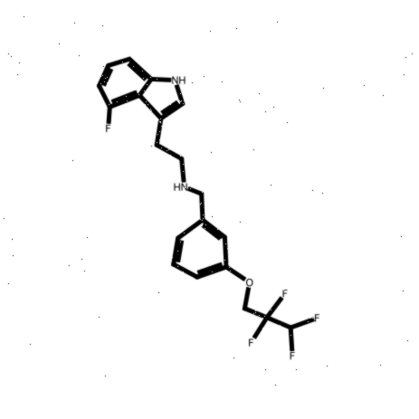 Fc1cccc2[nH]cc(CCNCc3cccc(OCC(F)(F)C(F)F)c3)c12